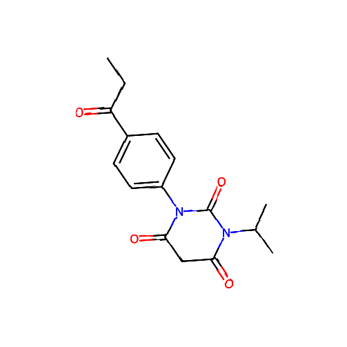 CCC(=O)c1ccc(N2C(=O)CC(=O)N(C(C)C)C2=O)cc1